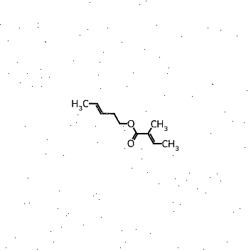 C/C=C/CCOC(=O)/C(C)=C/C